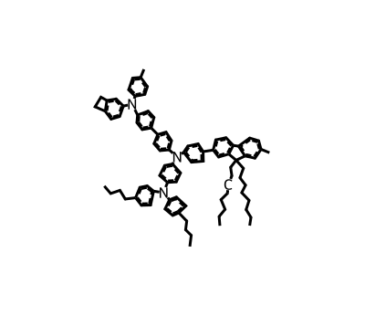 CCCCCCCCC1(CCCCCCCC)c2cc(C)ccc2-c2ccc(-c3ccc(N(c4ccc(-c5ccc(N(c6ccc(C)cc6)c6ccc7c(c6)CC7)cc5)cc4)c4ccc(N(c5ccc(CCCC)cc5)c5ccc(CCCC)cc5)cc4)cc3)cc21